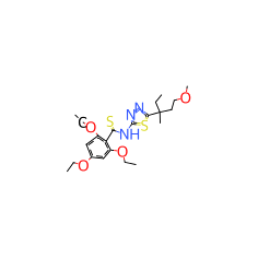 CCOc1cc(OCC)c(C(=S)Nc2nnc(C(C)(CC)CCOC)s2)c(OCC)c1